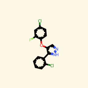 Fc1cc(Cl)ccc1Oc1cn[nH]c1-c1ccccc1Cl